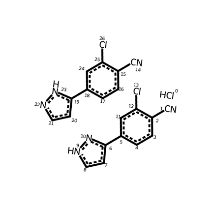 Cl.N#Cc1ccc(-c2cc[nH]n2)cc1Cl.N#Cc1ccc(-c2ccn[nH]2)cc1Cl